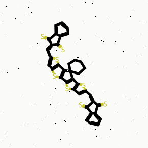 S=C1C(=Cc2cc3sc4c(c3s2)C2(CCCCC2)c2c-4sc3cc(C=C4C(=S)c5ccccc5C4=S)sc23)C(=S)c2ccccc21